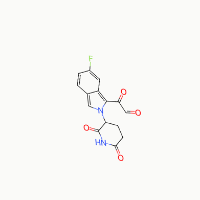 O=CC(=O)c1c2cc(F)ccc2cn1C1CCC(=O)NC1=O